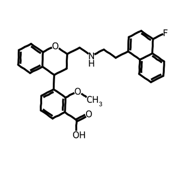 COc1c(C(=O)O)cccc1C1CC(CNCCc2ccc(F)c3ccccc23)Oc2ccccc21